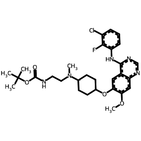 COc1cc2ncnc(Nc3cccc(Cl)c3F)c2cc1OC1CC[C](N(C)CCNC(=O)OC(C)(C)C)CC1